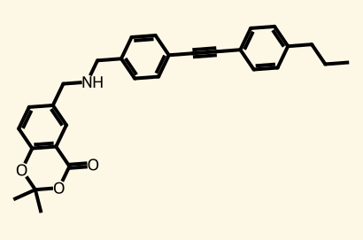 CCCc1ccc(C#Cc2ccc(CNCc3ccc4c(c3)C(=O)OC(C)(C)O4)cc2)cc1